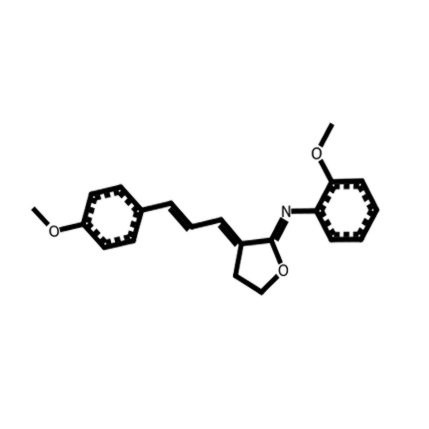 COc1ccc(/C=C/C=C2\CCO\C2=N/c2ccccc2OC)cc1